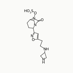 O=C1N2CC(CCC2c2cc(CCNC3CNC3)on2)N1OS(=O)(=O)O